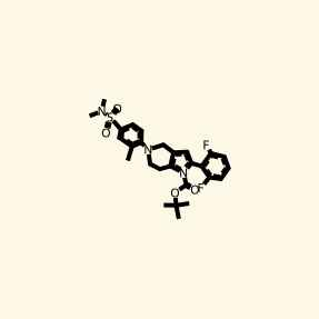 Cc1cc(S(=O)(=O)N(C)C)ccc1N1CCc2c(cc(-c3c(F)cccc3F)n2C(=O)OC(C)(C)C)C1